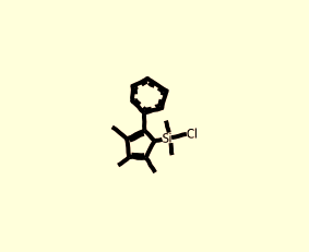 CC1=C(C)C([Si](C)(C)Cl)C(c2ccccc2)=C1C